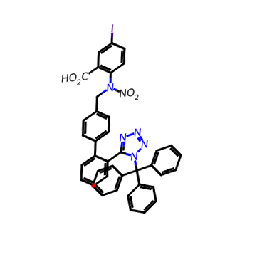 O=C(O)c1cc(I)ccc1N(Cc1ccc(-c2ccccc2-c2nnnn2C(c2ccccc2)(c2ccccc2)c2ccccc2)cc1)[N+](=O)[O-]